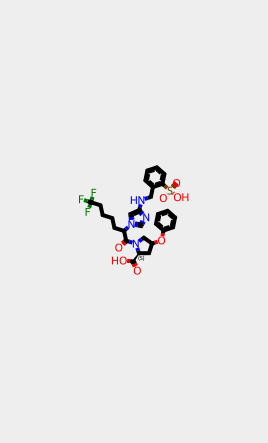 O=C(O)[C@@H]1CC(Oc2ccccc2)CN1C(=O)C(CCCCC(F)(F)F)n1cnc(NCc2ccccc2S(=O)(=O)O)c1